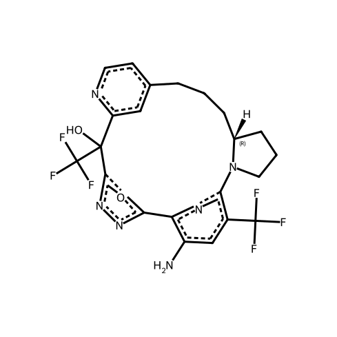 Nc1cc(C(F)(F)F)c2nc1-c1nnc(o1)C(O)(C(F)(F)F)c1cc(ccn1)CCC[C@@H]1CCCN21